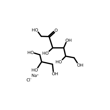 O=C(CO)C(O)C(O)C(O)CO.OCC(O)CO.[Cl-].[Na+]